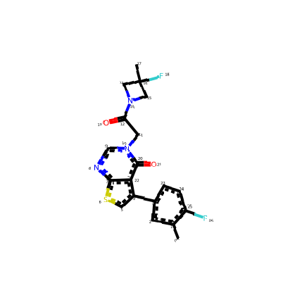 Cc1cc(-c2csc3ncn(CC(=O)N4CC(C)(F)C4)c(=O)c23)ccc1F